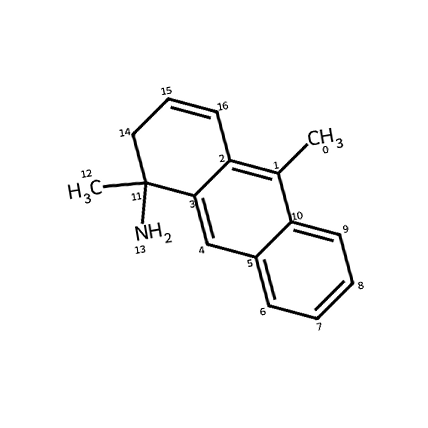 Cc1c2c(cc3ccccc13)C(C)(N)CC=C2